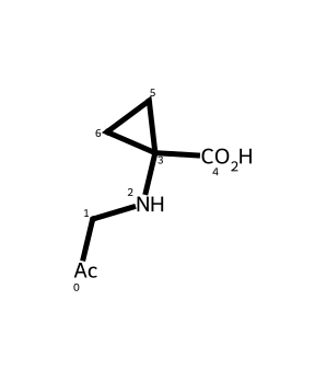 CC(=O)CNC1(C(=O)O)CC1